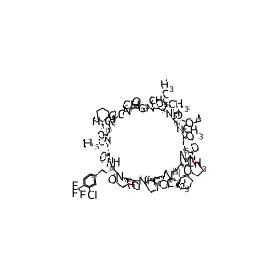 CC[C@H](C)[C@@H]1NC(=O)[C@H](COC2CC2)N(C)C(=O)C[C@@H](C(=O)N2CCCCC2)N(C)C(=O)[C@H](C2CCCCC2)N(C)C(=O)C2(CCCC2)NC(=O)[C@@H]2CCCN2C(=O)[C@H](CCc2ccc(C(F)(F)F)c(Cl)c2)NC(=O)CN(C)C(=O)[C@H](CC2CCCCC2)N(C)C(=O)CN(C)C(=O)CN(C)C1=O